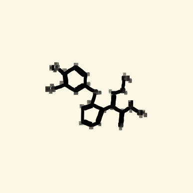 CNC(=O)C(=NOC)c1ccccc1Oc1ccc(C)c(C)c1